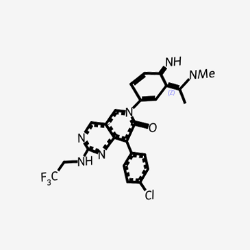 CN/C(C)=C1/C=C(n2cc3cnc(NCC(F)(F)F)nc3c(-c3ccc(Cl)cc3)c2=O)C=CC1=N